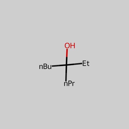 CCCCC(O)(CC)CCC